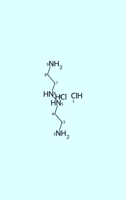 Cl.Cl.NCCNNCCN